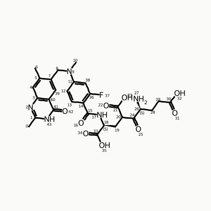 Cc1nc2cc(C)c(CN(C)c3ccc(C(=O)N[C@@H](CC(C(=O)O)C(=O)[C@@H](N)CCC(=O)O)C(=O)O)c(F)c3)cc2c(=O)[nH]1